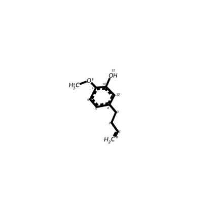 C=CCCc1ccc(OC)c(O)c1